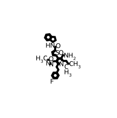 Cc1nnc(-c2c(CCc3ccc(F)cc3)nc(CC(C)C)c(C(N)=O)c2-c2ccc(C(=O)N[C@H]3CCc4ccccc43)s2)o1